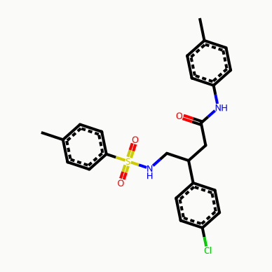 Cc1ccc(NC(=O)CC(CNS(=O)(=O)c2ccc(C)cc2)c2ccc(Cl)cc2)cc1